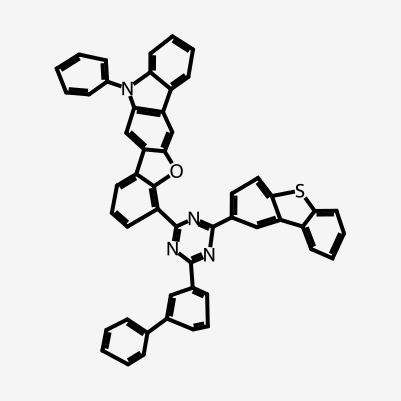 c1ccc(-c2cccc(-c3nc(-c4ccc5sc6ccccc6c5c4)nc(-c4cccc5c4oc4cc6c7ccccc7n(-c7ccccc7)c6cc45)n3)c2)cc1